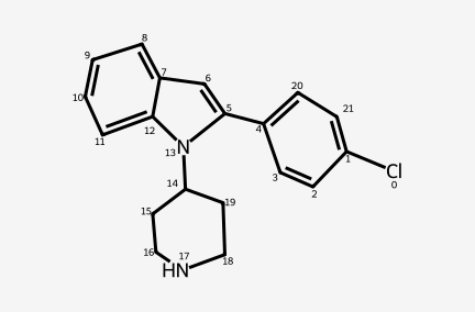 Clc1ccc(-c2cc3ccccc3n2C2CCNCC2)cc1